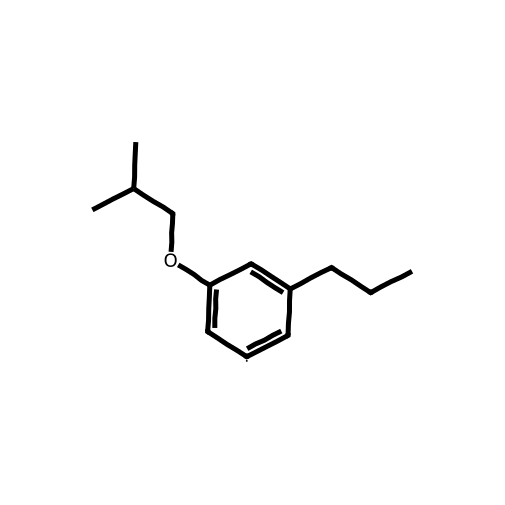 CCCc1c[c]cc(OCC(C)C)c1